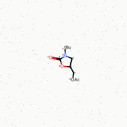 CC(=O)OCC1CN(C(C)(C)C)C(=O)O1